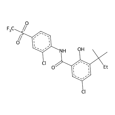 CCC(C)(C)c1cc(Cl)cc(C(=O)Nc2ccc(S(=O)(=O)C(F)(F)F)cc2Cl)c1O